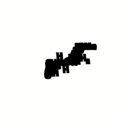 COc1cccc(Oc2ccc(-c3nn(C4CCC(NCCNC5CN(c6ccc7c(C8CCC(=O)NC8=O)nn(C)c7c6)C5)CC4)c4ncnc(N)c34)cc2)c1F